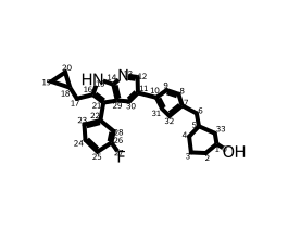 OC1CCCC(Cc2ccc(-c3cnc4[nH]c(CC5CC5)c(-c5cccc(F)c5)c4c3)cc2)C1